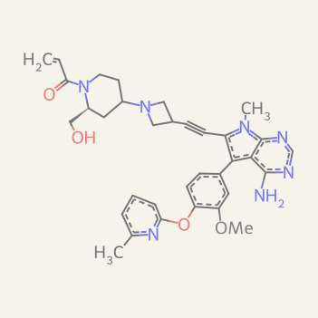 C=CC(=O)N1CCC(N2CC(C#Cc3c(-c4ccc(Oc5cccc(C)n5)c(OC)c4)c4c(N)ncnc4n3C)C2)C[C@H]1CO